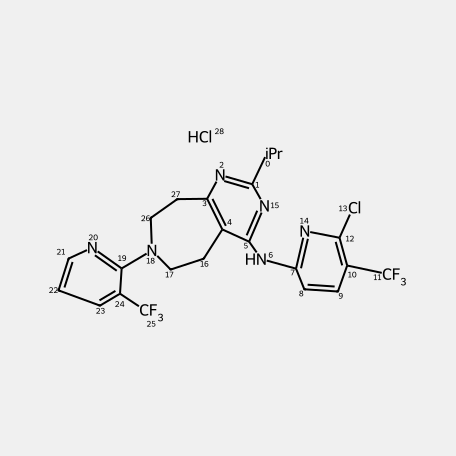 CC(C)c1nc2c(c(Nc3ccc(C(F)(F)F)c(Cl)n3)n1)CCN(c1ncccc1C(F)(F)F)CC2.Cl